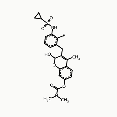 CC1=C(Cc2cccc(NS(=O)(=O)C3CC3)c2F)C(O)Oc2cc(OC(=O)N(C)C)ccc21